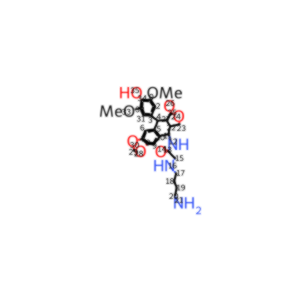 COc1cc(C2c3cc4c(cc3C(NC(=O)CNCCCCN)C3COC(=O)C23)OCO4)cc(OC)c1O